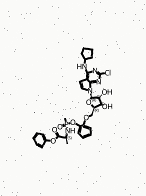 C[C@H](NP(C)(=O)Oc1ccccc1OC[C@H]1O[C@@H](n2ccc3c(NC4CCCC4)nc(Cl)nc32)[C@H](O)[C@@H]1O)C(=O)Oc1ccccc1